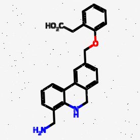 NCc1cccc2c1NCc1ccc(COc3ccccc3CC(=O)O)cc1-2